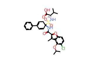 Cc1c(C(=O)NC2(S(=O)(=O)N[C@H](C(=O)O)C(C)C)C=CC(c3ccccc3)=CC2)oc2ccc(Cl)c(OC(C)C)c12